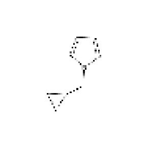 [c]1ccn(CC2CC2)c1